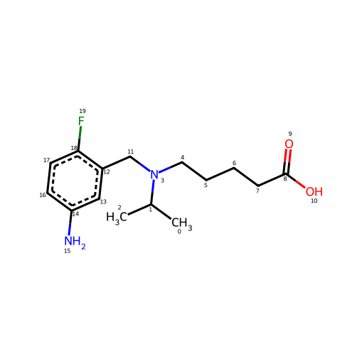 CC(C)N(CCCCC(=O)O)Cc1cc(N)ccc1F